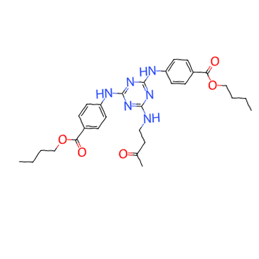 CCCCOC(=O)c1ccc(Nc2nc(NCCC(C)=O)nc(Nc3ccc(C(=O)OCCCC)cc3)n2)cc1